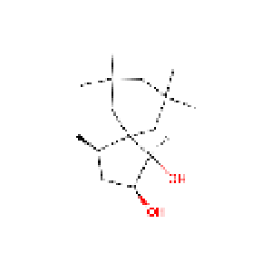 C[C@@H]1C[C@H](O)[C@](C)(O)C12CC(C)(C)CC(C)(C)C2